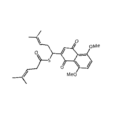 COc1ccc(OC)c2c1C(=O)C=C(C(CC=C(C)C)SC(=O)CC=C(C)C)C2=O